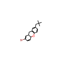 CC(C)(C)Cc1ccc2c(c1)CC1C=C(Br)C=CC1O2